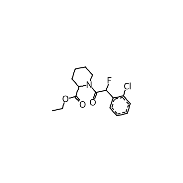 CCOC(=O)C1CCCCN1C(=O)C(F)c1ccccc1Cl